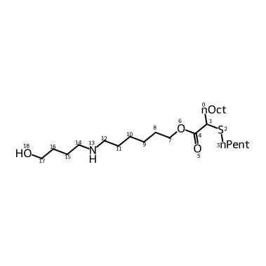 CCCCCCCCC(SCCCCC)C(=O)OCCCCCCNCCCCO